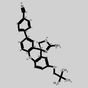 CC(C)(C)COc1ccc2c(c1)[C@]1(COC(N)=N1)c1cc(-c3ccc(C#N)cc3)ccc1O2